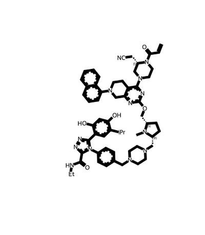 C=CC(=O)N1CCN(c2nc(OC[C@@H]3CC[C@H](CN4CCN(Cc5ccc(-n6c(C(=O)NCC)nnc6-c6cc(C(C)C)c(O)cc6O)cc5)CC4)N3C)nc3c2CCN(c2cccc4ccccc24)C3)C[C@@H]1CC#N